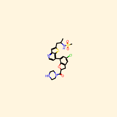 CC(Cc1cc2nccc(-c3cc(Cl)cc4c3OC(C(=O)N3CCNCC3)C4)c2s1)NS(C)(=O)=O